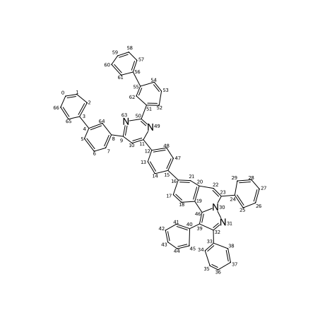 c1ccc(-c2cccc(-c3cc(-c4ccc(-c5ccc6c(c5)cc(-c5ccccc5)n5nc(-c7ccccc7)c(-c7ccccc7)c65)cc4)nc(-c4cccc(-c5ccccc5)c4)n3)c2)cc1